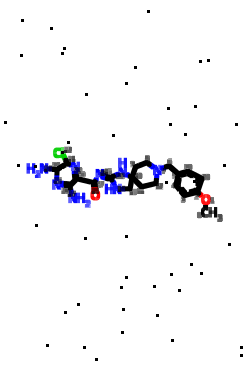 COc1ccc(CN2CCC3(CC2)CN/C(=N\C(=O)C2=NC(Cl)C(N)N=C2N)N3)cc1